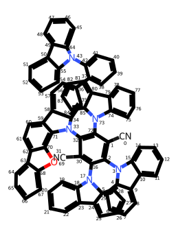 N#Cc1c(-n2c3ccccc3c3ccccc32)c(-n2c3ccccc3c3ccccc32)c(C#N)c(-n2c3cc(-c4ccccc4-n4c5ccccc5c5ccccc54)ccc3c3ccc4c5ccccc5oc4c32)c1-n1c2ccccc2c2ccccc21